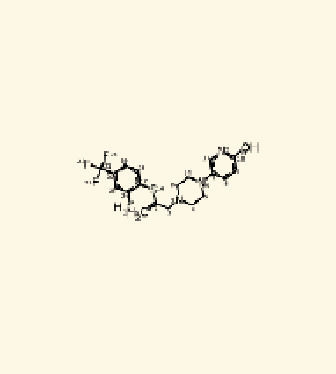 C=C(CN1CCN(c2ccc(O)nc2)CC1)Sc1ccc(C(F)(F)F)cc1C